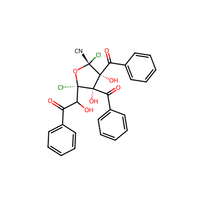 [C-]#[N+][C@]1(Cl)O[C@](Cl)(C(O)C(=O)c2ccccc2)[C@](O)(C(=O)c2ccccc2)[C@]1(O)C(=O)c1ccccc1